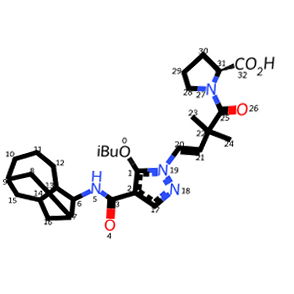 CC(C)COc1c(C(=O)NC2C3CC4CCCC2C(C4)C3)cnn1/C=C/C(C)(C)C(=O)N1CCC[C@H]1C(=O)O